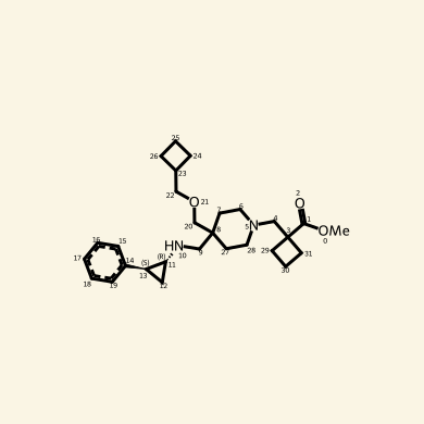 COC(=O)C1(CN2CCC(CN[C@@H]3C[C@H]3c3ccccc3)(COCC3CCC3)CC2)CCC1